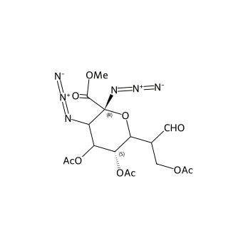 COC(=O)[C@]1(N=[N+]=[N-])OC(C(C=O)COC(C)=O)[C@H](OC(C)=O)C(OC(C)=O)C1N=[N+]=[N-]